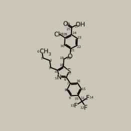 CCCCc1nc(-c2ccc(C(F)(F)F)cc2)sc1COc1ccc(C(=O)O)c(Cl)c1